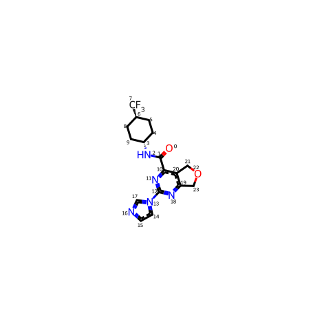 O=C(N[C@H]1CC[C@H](C(F)(F)F)CC1)c1nc(-n2ccnc2)nc2c1COC2